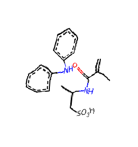 C=C(C)C(=O)NC(C)CS(=O)(=O)O.c1ccc(Nc2ccccc2)cc1